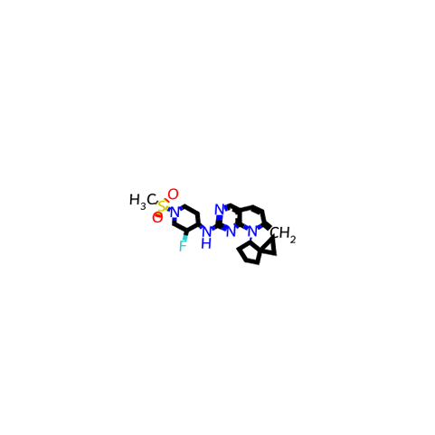 C=C1C=Cc2cnc(NC3CCN(S(C)(=O)=O)CC3F)nc2N1[C@H]1CCCC12CC2